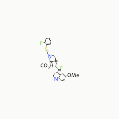 COc1ccc2nccc([C@H](F)CC[C@@H]3CCN(CCSc4ccccc4F)C[C@@H]3C(=O)O)c2c1